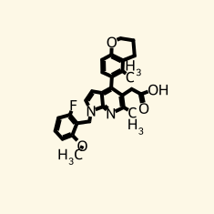 COc1cccc(F)c1Cn1ccc2c(-c3ccc4c(c3C)CCCO4)c(CC(=O)O)c(C)nc21